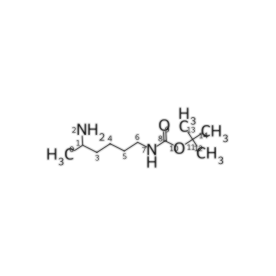 CC(N)CCCCNC(=O)OC(C)(C)C